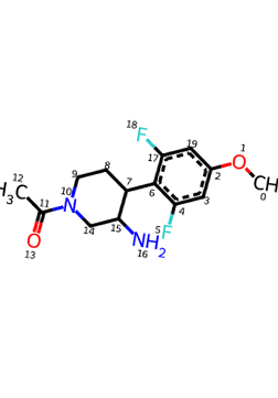 COc1cc(F)c(C2CCN(C(C)=O)CC2N)c(F)c1